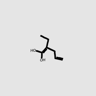 C=CCC(CC)=C(O)O